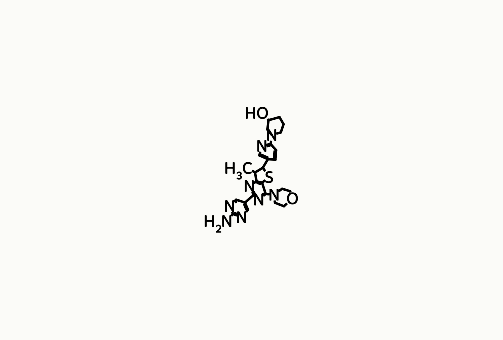 CC1c2nc(-c3cnc(N)nc3)nc(N3CCOCC3)c2SC1c1ccc(N2CCCC(O)C2)nc1